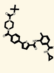 Cc1ccc(C(=O)NC2CC2)cc1NC(=O)c1ccc(-c2ccc(C(=O)N3CCN(C(=O)OC(C)(C)C)CC3)cc2)s1